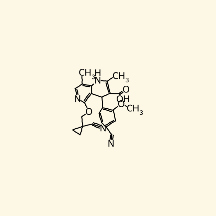 COc1cc(C#N)ccc1C1C(C(=O)O)=C(C)Nc2c(C)cnc(OCC3(C#N)CC3)c21